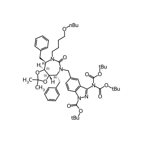 CCCCOCCCCN1C(=O)N(Cc2ccc3c(c2)c(N(C(=O)OC(C)(C)C)C(=O)OC(C)(C)C)nn3C(=O)OC(C)(C)C)[C@H](Cc2ccccc2)[C@@H]2OC(C)(C)O[C@H]2[C@H]1Cc1ccccc1